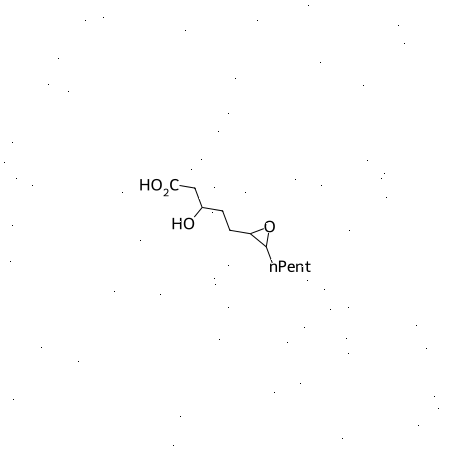 CCCCCC1OC1CCC(O)CC(=O)O